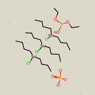 CCC[CH2][Sn+]([Cl])[CH2]CCC.CCC[CH2][Sn+]([Cl])[CH2]CCC.CCC[CH2][Sn+]([Cl])[CH2]CCC.CCOP(O)OCC.O=P([O-])([O-])[O-]